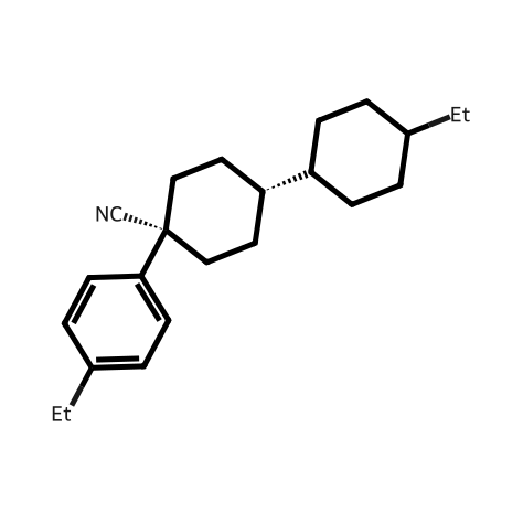 CCc1ccc([C@]2(C#N)CC[C@@H](C3CCC(CC)CC3)CC2)cc1